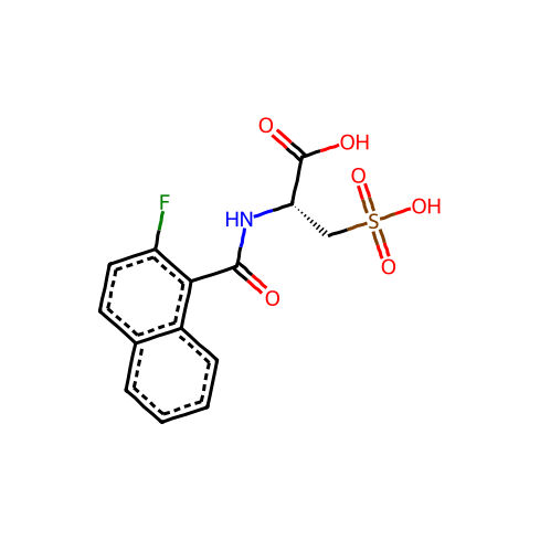 O=C(N[C@@H](CS(=O)(=O)O)C(=O)O)c1c(F)ccc2ccccc12